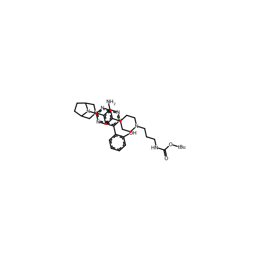 CC(C)(C)OC(=O)NCCCN1CCC(c2cnc(N3C4CCC3CN(c3cc(-c5ccccc5O)nnc3N)C4)nc2)CC1